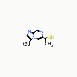 CC(S)c1cn2c(C(C)(C)C)cnc2cn1